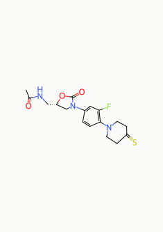 CC(=O)NC[C@H]1CN(c2ccc(N3CCC(=S)CC3)c(F)c2)C(=O)O1